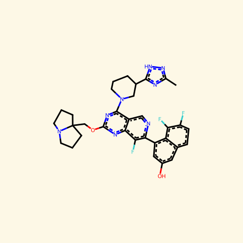 Cc1n[nH]c(C2CCCN(c3nc(OCC45CCCN4CCC5)nc4c(F)c(-c5cc(O)cc6ccc(F)c(F)c56)ncc34)C2)n1